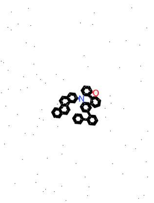 c1ccc(-c2ccccc2-c2ccc(N(c3ccc4ccc5c6ccccc6ccc5c4c3)c3cccc4oc5ccccc5c34)cc2)cc1